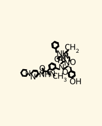 C=CCN1CC(=O)N2[C@@H](Cc3ccc(O)cc3)C(=O)N(Cc3cccc4c(C(=O)Nc5ccc(N6CCCCC6)nc5)cn(C)c34)C[C@@H]2N1C(=O)NCc1ccccc1